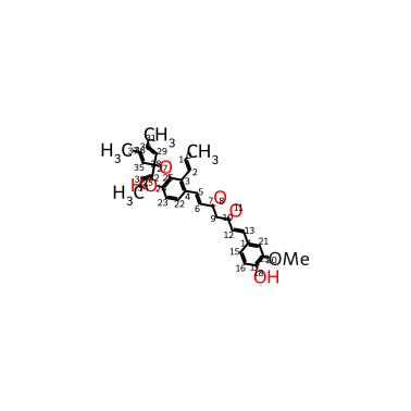 CC=Cc1c(/C=C/C(=O)CC(=O)/C=C/c2ccc(O)c(OC)c2)ccc(O)c1OC(C=CC)(C=CC)C=CC